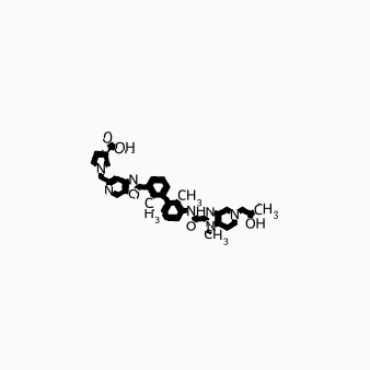 Cc1c(NC(=O)c2nc3c(n2C)CCN(CC(C)O)C3)cccc1-c1cccc(-c2nc3cc(CN4CC[C@@H](C(=O)O)C4)ncc3o2)c1C